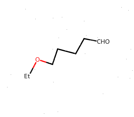 CCOCCCCC=O